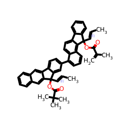 C=C(C)C(=O)OC1(/C=C/C)c2ccccc2-c2ccc3c(-c4ccc5c(c4)C(/C=C/C)(OC(=O)C(C)(C)C)c4cc6ccccc6cc4-5)cccc3c21